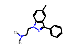 CCN(CC)CCn1nc(-c2ccccc2)c2cc(C)ccc21